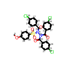 COc1ccc(S(=O)(=O)N(C(=O)c2ccc(Cl)cc2)N(C(=O)c2ccc(Cl)cc2)C(=O)c2ccc(Cl)cc2)cc1